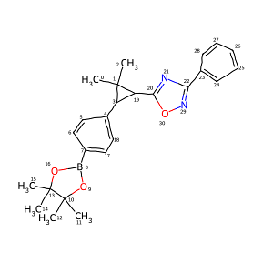 CC1(C)C(c2ccc(B3OC(C)(C)C(C)(C)O3)cc2)C1c1nc(-c2ccccc2)no1